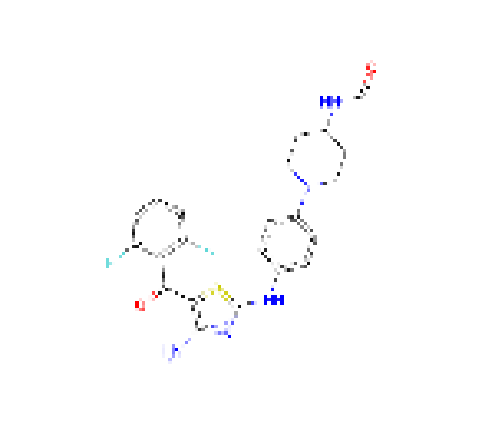 Nc1nc(Nc2ccc(N3CCC(NC=O)CC3)cc2)sc1C(=O)c1c(F)cccc1F